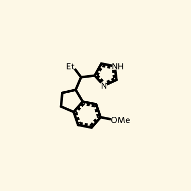 CCC(c1c[nH]cn1)C1CCc2ccc(OC)cc21